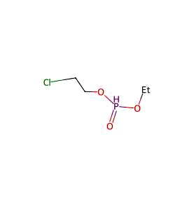 CCO[PH](=O)OCCCl